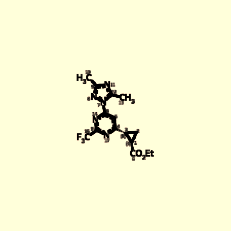 CCOC(=O)[C@@H]1C[C@H]1c1cc(-n2nc(C)nc2C)nc(C(F)(F)F)n1